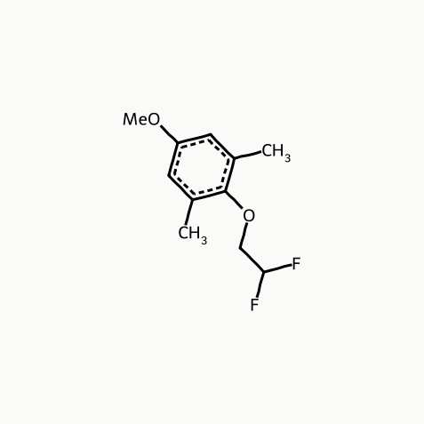 COc1cc(C)c(OCC(F)F)c(C)c1